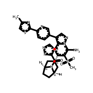 Cc1csc(-c2ccc(-c3cnn4c(N)c(S(C)(=O)=O)c([C@@H]5C[C@H]6CC[C@@H](C5)N6C(=O)c5nnc[nH]5)nc34)cn2)n1